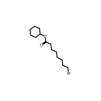 O=C(CCCCCCCBr)OC1CCCCC1